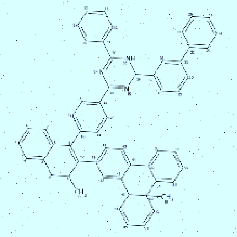 CC1Cc2ccccc2C(c2ccc(C3=NC(c4cccc(-c5ccccc5)c4)NC(c4ccccc4)=N3)cc2)=C1c1ccc2c(c1)C1C=CC=CC1(C)c1ccccc1-2